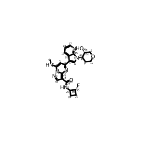 CNc1cc(-c2cn([C@@H]3CCOC[C@H]3O)c3ncccc23)nc2c(C(=O)NC3CC[C@H]3F)cnn12